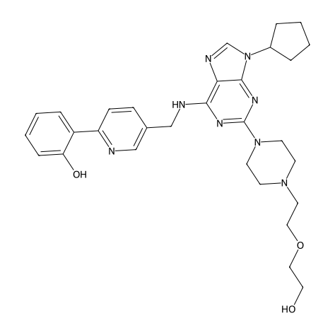 OCCOCCN1CCN(c2nc(NCc3ccc(-c4ccccc4O)nc3)c3ncn(C4CCCC4)c3n2)CC1